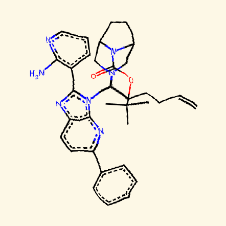 C=CCCCC(N1CC2CCC(C1)N2C(=O)OC(C)(C)C)n1c(-c2cccnc2N)nc2ccc(-c3ccccc3)nc21